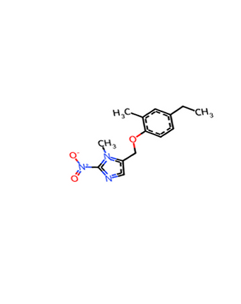 CCc1ccc(OCc2cnc([N+](=O)[O-])n2C)c(C)c1